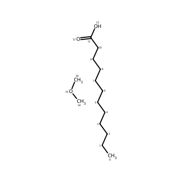 CCCCCCCCCCCC(=O)O.COC